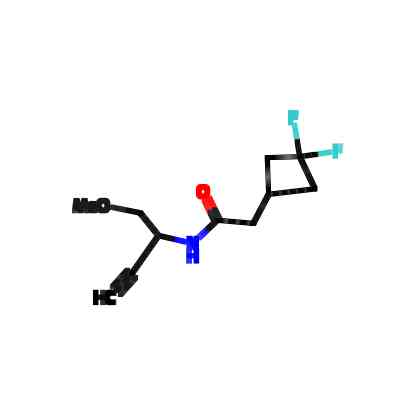 C#CC(COC)NC(=O)CC1CC(F)(F)C1